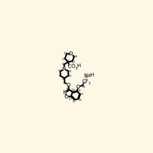 O=C(O)C1(CN2CCC(COc3noc4cccc(OCC(F)(F)F)c34)CC2)CCOCC1.[NaH]